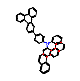 c1ccc(-c2ccccc2N(c2ccc(-c3ccc4c5ccccc5c5ccccc5c4c3)cc2)c2ccccc2-c2cccc(-c3cccc4ccccc34)c2)cc1